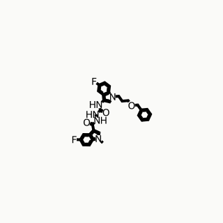 Cn1cc(C(=O)NNC(=O)Nc2cn(CCCOCc3ccccc3)c3ccc(F)cc23)c2cc(F)ccc21